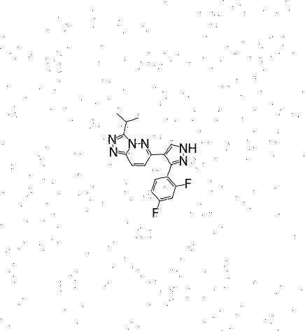 CC(C)c1nnc2ccc(-c3c[nH]nc3-c3ccc(F)cc3F)nn12